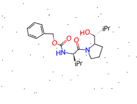 CC(C)[C@@H](O)C1CCCN1C(=O)[C@H](NC(=O)OCc1ccccc1)C(C)C